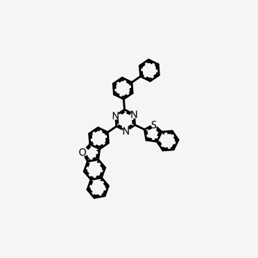 c1ccc(-c2cccc(-c3nc(-c4ccc5oc6cc7ccccc7cc6c5c4)nc(-c4cc5ccccc5s4)n3)c2)cc1